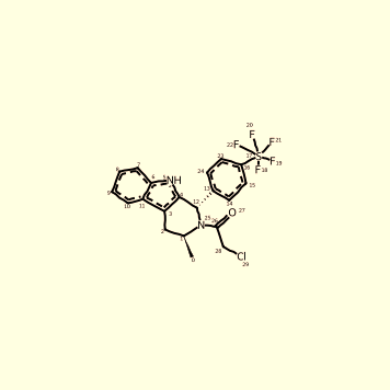 C[C@H]1Cc2c([nH]c3ccccc23)[C@H](c2ccc(S(F)(F)(F)(F)F)cc2)N1C(=O)CCl